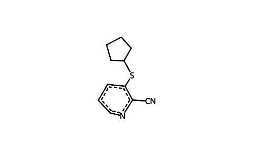 N#Cc1ncccc1SC1CCCC1